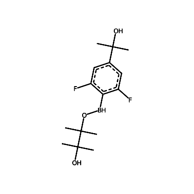 CC(C)(O)c1cc(F)c(BOC(C)(C)C(C)(C)O)c(F)c1